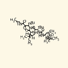 C=CCNC(=O)C(=O)C(CCCC)NC(=O)C1[C@@H]2[C@H](CN1C(=O)[C@@H](NC(=O)N[C@H](CN(C)S(=O)(=O)N(C)C)C(C)(C)C)C(C)(C)C)C2(C)C